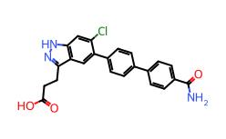 NC(=O)c1ccc(-c2ccc(-c3cc4c(CCC(=O)O)n[nH]c4cc3Cl)cc2)cc1